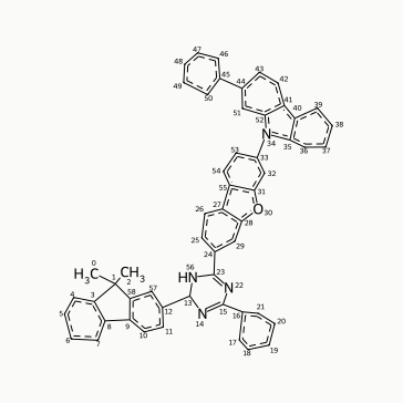 CC1(C)c2ccccc2-c2ccc(C3N=C(c4ccccc4)N=C(c4ccc5c(c4)oc4cc(-n6c7ccccc7c7ccc(-c8ccccc8)cc76)ccc45)N3)cc21